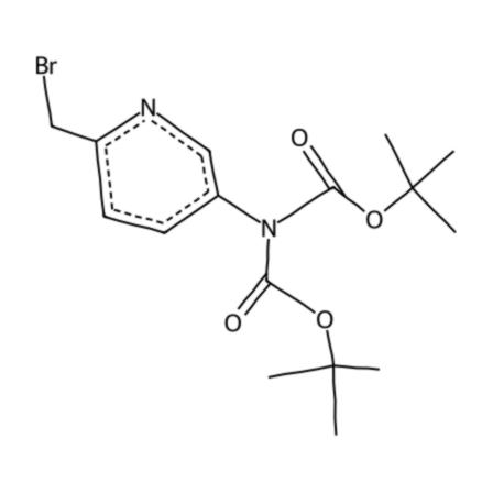 CC(C)(C)OC(=O)N(C(=O)OC(C)(C)C)c1ccc(CBr)nc1